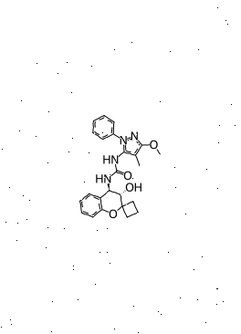 COc1nn(-c2ccccc2)c(NC(=O)N[C@@H]2c3ccccc3OC3(CCC3)[C@H]2O)c1C